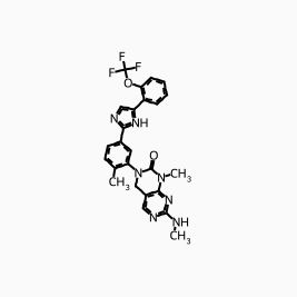 CNc1ncc2c(n1)N(C)C(=O)N(c1cc(-c3ncc(-c4ccccc4OC(F)(F)F)[nH]3)ccc1C)C2